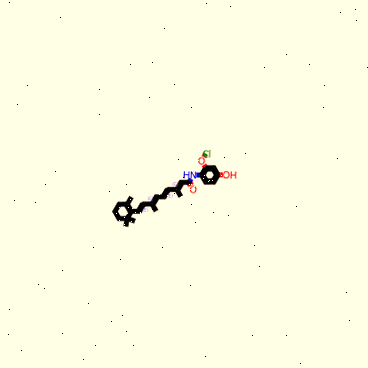 CC1=C(/C=C/C(C)=C/C=C/C(C)=C/C(=O)Nc2ccc(O)cc2OCl)C(C)(C)CCC1